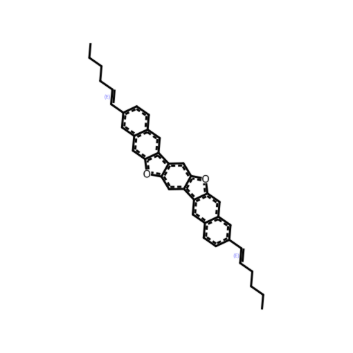 CCCC/C=C/c1ccc2cc3c(cc2c1)oc1cc2c(cc13)oc1cc3cc(/C=C/CCCC)ccc3cc12